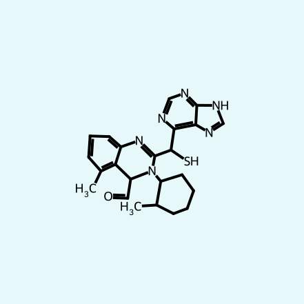 Cc1cccc2c1C(C=O)N(C1CCCCC1C)C(C(S)c1ncnc3[nH]cnc13)=N2